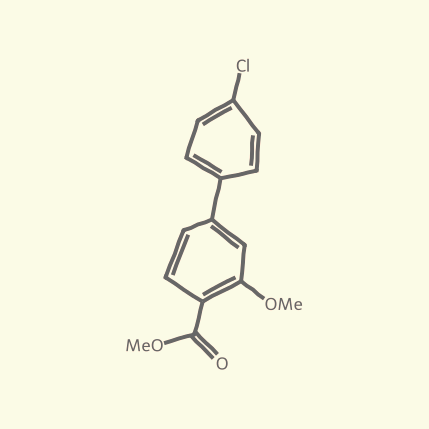 COC(=O)c1ccc(-c2ccc(Cl)cc2)cc1OC